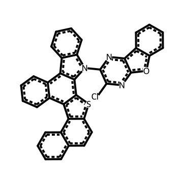 Clc1nc2oc3ccccc3c2nc1-n1c2ccccc2c2c3ccccc3c3c(sc4ccc5ccccc5c43)c21